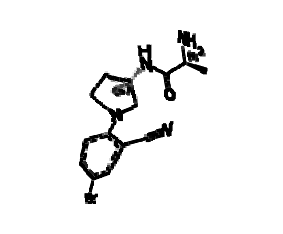 C[C@H](N)C(=O)N[C@H]1CCN(c2ccc(Br)cc2C#N)C1